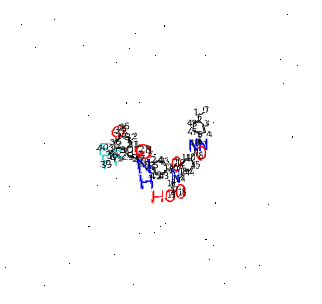 CCc1ccc(-c2noc(-c3ccc(CN(CC(=O)O)C(=O)c4ccc(NC(=O)Cc5ccc(OC)cc5C(F)(F)F)cc4)cc3)n2)cc1